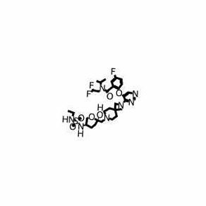 CCNS(=O)(=O)N[C@@H]1CC[C@](O)(CN2CCC3(CC2)CN(c2ncncc2Oc2ccc(F)cc2C(=O)N(CC(F)F)C(C)C)C3)OC1